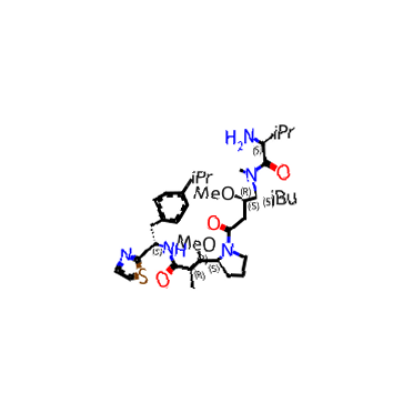 CC[C@H](C)[C@@H]([C@@H](CC(=O)N1CCC[C@H]1[C@H](OC)[C@@H](C)C(=O)N[C@@H](Cc1ccc(C(C)C)cc1)c1nccs1)OC)N(C)C(=O)[C@@H](N)C(C)C